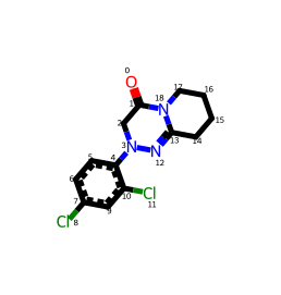 O=C1CN(c2ccc(Cl)cc2Cl)N=C2CCCCN12